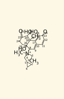 CC[N+](C)(CC1CC1)[C@@H]1C=C2C=CC(=O)C(O)=C2C2(C)C(O)C(=O)CC[C@@]12O